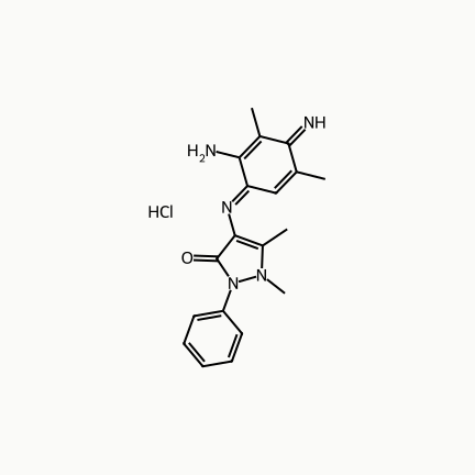 CC1=CC(=Nc2c(C)n(C)n(-c3ccccc3)c2=O)C(N)=C(C)C1=N.Cl